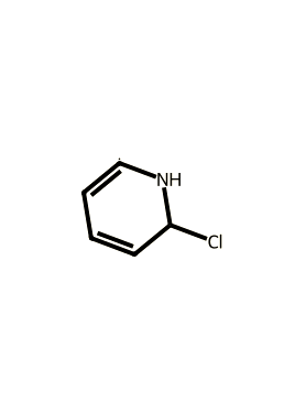 ClC1C=CC=[C]N1